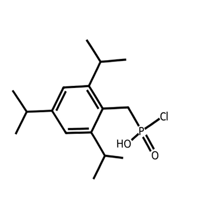 CC(C)c1cc(C(C)C)c(CP(=O)(O)Cl)c(C(C)C)c1